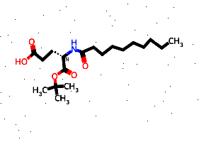 CCCCCCCCCC(=O)N[C@@H](CCC(=O)O)C(=O)OC(C)(C)C